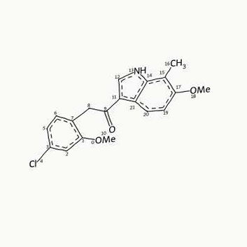 COc1cc(Cl)ccc1CC(=O)c1c[nH]c2c(C)c(OC)ccc12